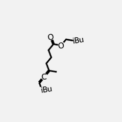 CCC(C)C=C=C(C)CCCC(=O)OCC(C)CC